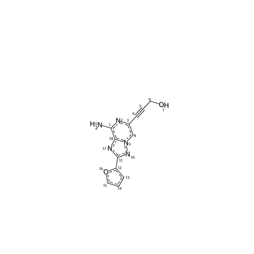 Nc1nc(C#CCO)cn2nc(-c3ccco3)nc12